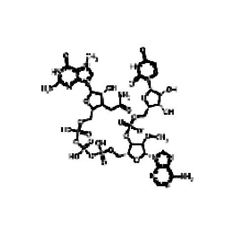 CO[C@@H]1[C@H](OP(=O)([O-])OC[C@H]2O[C@@H](n3ccc(=O)[nH]c3=O)[C@H](O)[C@@H]2O)[C@@H](COP(=O)(O)OP(=O)(O)OP(=O)(O)OC[C@H]2OC(n3c[n+](C)c4c(=O)[nH]c(N)nc43)[C@H](O)C2CC(N)=O)O[C@H]1n1cnc2c(N)ncnc21